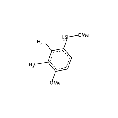 CO[SiH2]c1ccc(OC)c(C)c1C